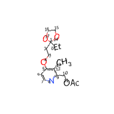 CCC1(CCOc2ccnc(COC(C)=O)c2C)OCCO1